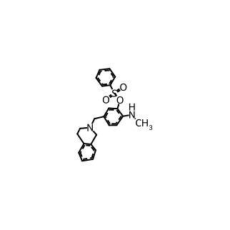 CNc1ccc(CN2CCc3ccccc3C2)cc1OS(=O)(=O)c1ccccc1